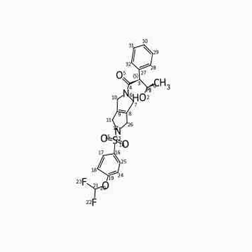 C[C@@H](O)[C@@H](C(=O)N1CC2=C(C1)CN(S(=O)(=O)c1ccc(OC(F)F)cc1)C2)c1ccccc1